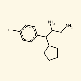 NCC(N)C(c1ccc(Cl)cc1)C1CCCC1